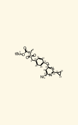 CN(C(=O)OC(C)(C)C)S(=O)(=O)Cc1ccc(Oc2cc(C#N)nc(C3CC3)n2)cc1